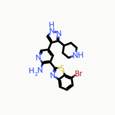 Nc1ncc(-c2c[nH]nc2C2CCNCC2)cc1-c1nc2cccc(Br)c2s1